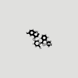 Cc1ccc2nccc(OC3CCC(C)N(C(=O)c4ccccc4-n4cncn4)C3)c2c1